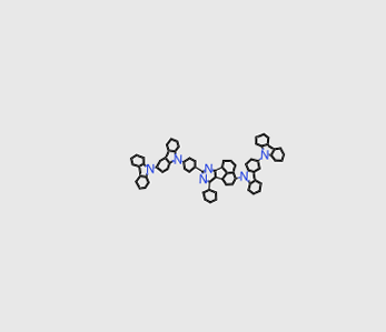 c1ccc(-c2nc(-c3ccc(-n4c5ccccc5c5cc(-n6c7ccccc7c7ccccc76)ccc54)cc3)nc3c2-c2ccc(-n4c5ccccc5c5cc(-n6c7ccccc7c7ccccc76)ccc54)c4cccc-3c24)cc1